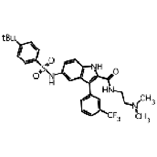 CN(C)CCNC(=O)c1[nH]c2ccc(NS(=O)(=O)c3ccc(C(C)(C)C)cc3)cc2c1-c1cccc(C(F)(F)F)c1